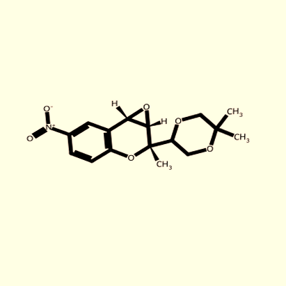 CC1(C)COC([C@]2(C)Oc3ccc([N+](=O)[O-])cc3[C@@H]3O[C@@H]32)CO1